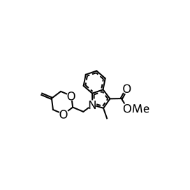 C=C1COC(Cn2c(C)c(C(=O)OC)c3ccccc32)OC1